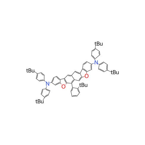 CC(C)(C)c1ccc(N(c2ccc(C(C)(C)C)cc2)c2ccc3c(c2)oc2cc4c(-c5ccccc5C(C)(C)C)c5oc6cc(N(c7ccc(C(C)(C)C)cc7)c7ccc(C(C)(C)C)cc7)ccc6c5cc4cc23)cc1